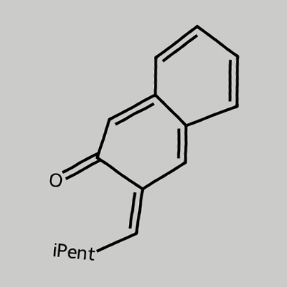 CCCC(C)C=C1C=c2ccccc2=CC1=O